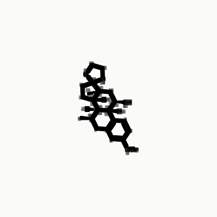 COc1ccc2c(c1)C[C@@H](C)[C@@H]1[C@@H]2[C@@H](O)C[C@@]2(C)[C@H]1CCC21OCCO1